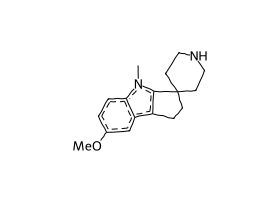 COc1ccc2c(c1)c1c(n2C)C2(CCNCC2)CC1